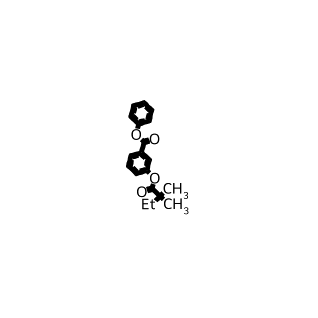 CCC(C)(C)C(=O)Oc1cccc(C(=O)Oc2ccccc2)c1